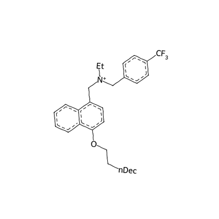 CCCCCCCCCCCCOc1ccc(C[N+](CC)Cc2ccc(C(F)(F)F)cc2)c2ccccc12